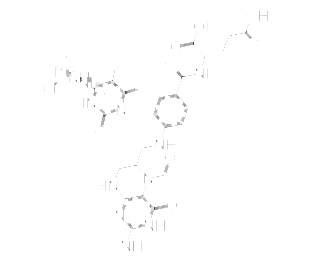 Nc1nc2c(c(=O)[nH]1)N(C=O)C(CNc1ccc(C(=O)N[C@@H](CCC(=O)O)C(=O)O)cc1)CN2.O=c1[nH]cc(F)c(=O)[nH]1.[Cl][Pt+2][Cl].[NH2-].[NH2-]